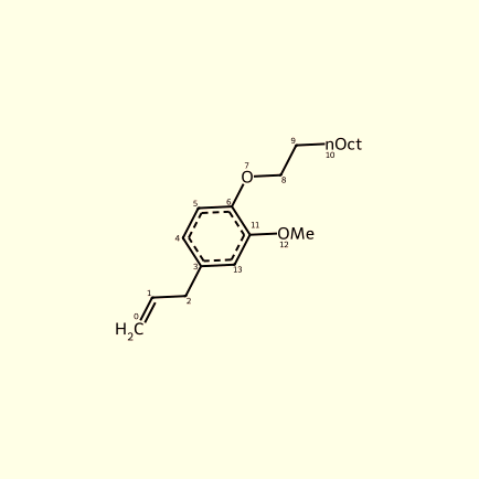 C=CCc1ccc(OCCCCCCCCCC)c(OC)c1